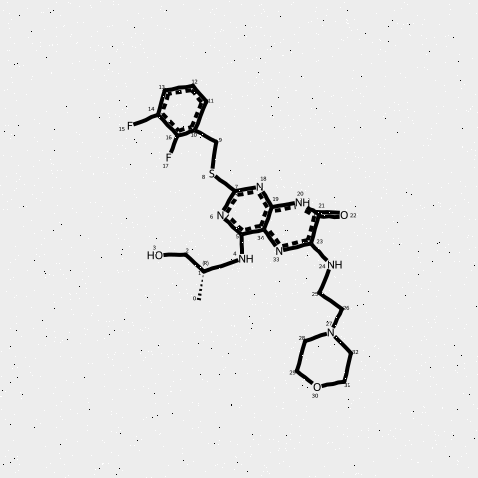 C[C@H](CO)Nc1nc(SCc2cccc(F)c2F)nc2[nH]c(=O)c(NCCN3CCOCC3)nc12